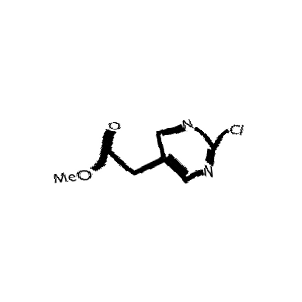 COC(=O)Cc1cnc(Cl)nc1